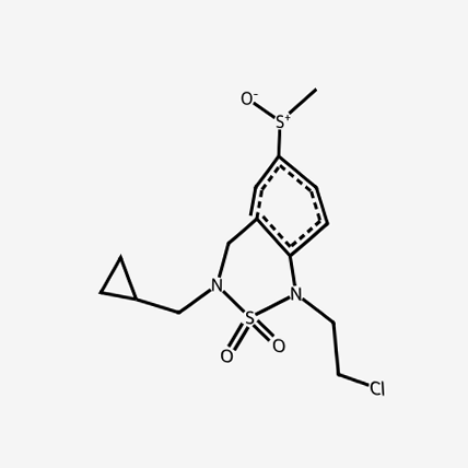 C[S+]([O-])c1ccc2c(c1)CN(CC1CC1)S(=O)(=O)N2CCCl